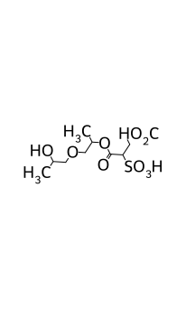 CC(O)COCC(C)OC(=O)C(CC(=O)O)S(=O)(=O)O